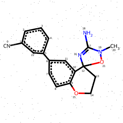 [C-]#[N+]c1cccc(-c2ccc3c(c2)C2(CCO3)N=C(N)N(C)O2)c1